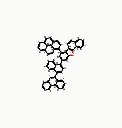 c1ccc2c(c1)cc(-c1ccc(-c3cc(-c4ccc5ccc6cccc7ccc4c5c67)c4c(c3)oc3c5ccccc5ccc34)c3ccccc13)c1ccccc12